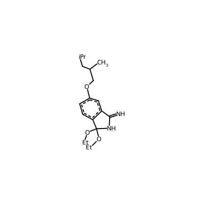 CCOC1(OCC)NC(=N)c2cc(OCC(C)CC(C)C)ccc21